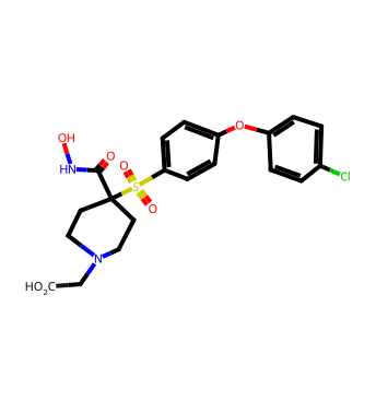 O=C(O)CN1CCC(C(=O)NO)(S(=O)(=O)c2ccc(Oc3ccc(Cl)cc3)cc2)CC1